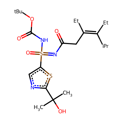 CC/C(CC(=O)N=S(=O)(NC(=O)OC(C)(C)C)c1cnc(C(C)(C)O)s1)=C(\CC)C(C)C